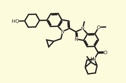 COc1cc(C(=O)N2CC3CCC2[C@@H]3C)cc2nc(-c3cc4ccc(C5CCC(O)CC5)cc4n3CC3CC3)n(C)c12